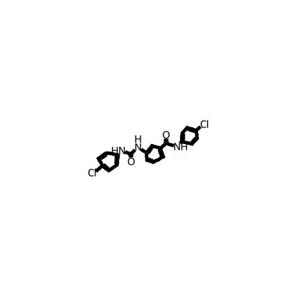 O=C(Nc1ccc(Cl)cc1)Nc1cccc(C(=O)Nc2ccc(Cl)cc2)c1